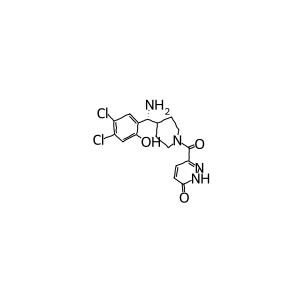 N[C@@H](c1cc(Cl)c(Cl)cc1O)C1CCN(C(=O)c2ccc(=O)[nH]n2)CC1